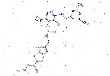 Cc1cc(C)cc(CNc2ncc3n(c2=O)[C@H](C(=O)NCc2cc4c(s2)CN(C(=O)OC(C)(C)C)C4)CC32CC2)c1